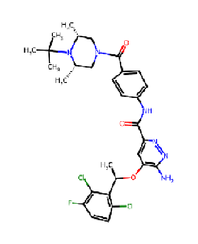 C[C@@H]1CN(C(=O)c2ccc(NC(=O)c3cc(O[C@H](C)c4c(Cl)ccc(F)c4Cl)c(N)nn3)cc2)C[C@H](C)N1C(C)(C)C